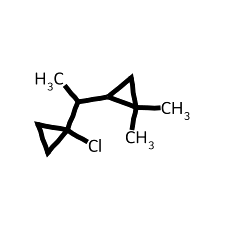 C[C](C1CC1(C)C)C1(Cl)CC1